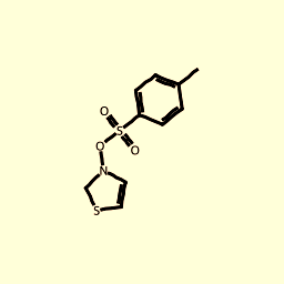 Cc1ccc(S(=O)(=O)ON2C=CSC2)cc1